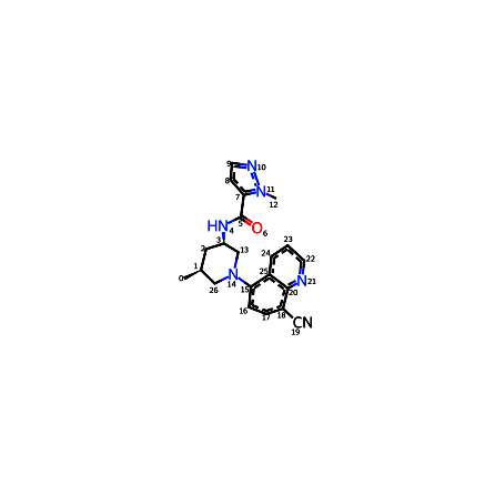 C[C@H]1C[C@@H](NC(=O)c2ccnn2C)CN(c2ccc(C#N)c3ncccc23)C1